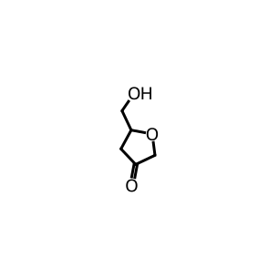 O=C1COC(CO)C1